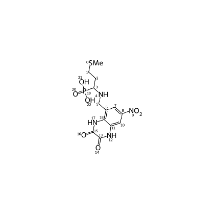 CSCCC(NCc1cc([N+](=O)[O-])cc2[nH]c(=O)c(=O)[nH]c12)P(=O)(O)O